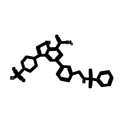 CCS(=O)(=O)N1CCC(c2c[nH]c3c(C(N)=O)cc(-c4cccc(CNS(=O)(=O)c5ccccc5)c4)cc23)CC1